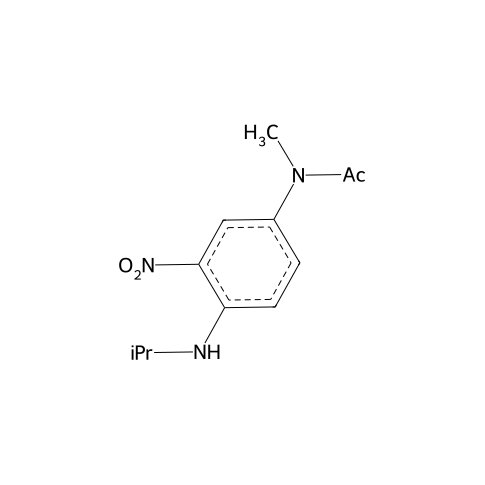 CC(=O)N(C)c1ccc(NC(C)C)c([N+](=O)[O-])c1